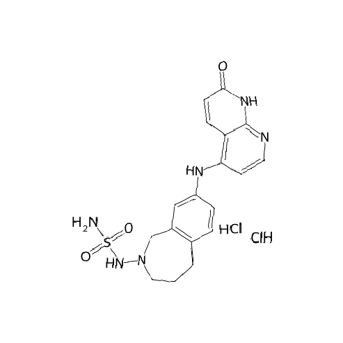 Cl.Cl.NS(=O)(=O)NN1CCCc2ccc(Nc3ccnc4[nH]c(=O)ccc34)cc2C1